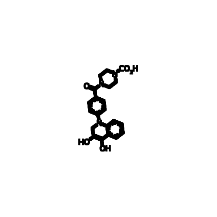 O=C(O)N1CCN(C(=O)c2ccc(N3CC(O)=C(O)c4ccccc43)cc2)CC1